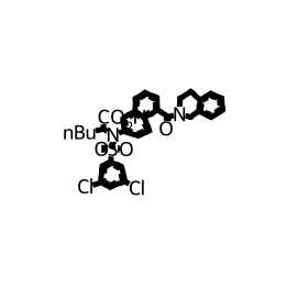 CCCCC(C(=O)O)N(c1ccc2c(C(=O)N3CCc4ccccc4C3)cccc2c1)S(=O)(=O)c1cc(Cl)cc(Cl)c1